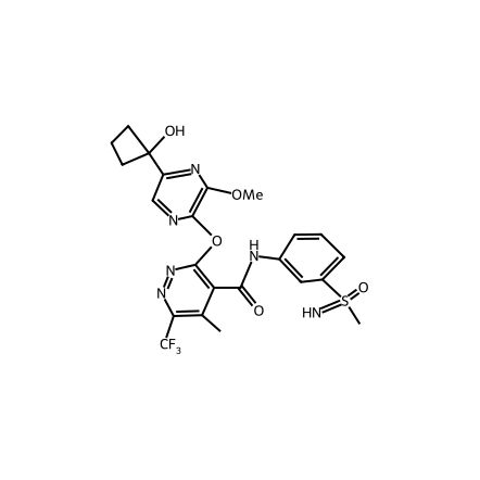 COc1nc(C2(O)CCC2)cnc1Oc1nnc(C(F)(F)F)c(C)c1C(=O)Nc1cccc(S(C)(=N)=O)c1